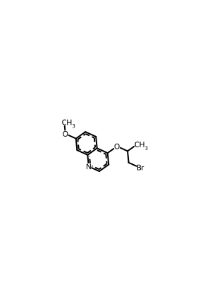 COc1ccc2c(OC(C)CBr)ccnc2c1